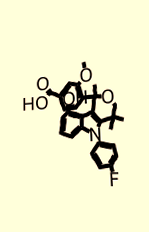 COc1cc(C(=O)O)ccc1C1(C)OCC(C)(C)c2c1c1c(O)cccc1n2-c1ccc(F)cc1